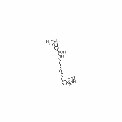 CC1(C)OCc2cc([C@H](O)CNCCCCCCOCCCCc3cccc(S(=O)(=O)NC4CCC4)c3)ccc2O1